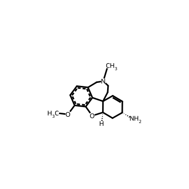 COc1ccc2c3c1O[C@@H]1C[C@@H](N)C=CC31CCN(C)C2